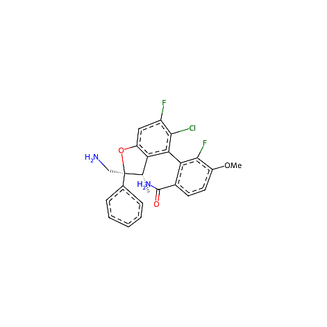 COc1ccc(C(N)=O)c(-c2c(Cl)c(F)cc3c2[C@H](C)[C@@](CN)(c2ccccc2)O3)c1F